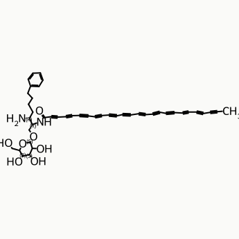 CC#CC#CC#CC#CC#CC#CC#CC#CC#CC#CC#CC#CC(=O)N[C@@H](CO[C@H]1OC(CO)[C@H](O)[C@H](O)C1O)[C@H](N)CCCCc1ccccc1